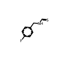 Fc1ccc(CNC=S)cc1